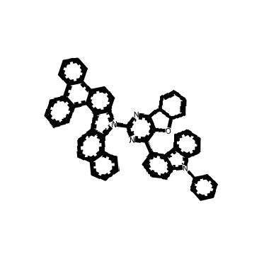 C1=CC2Oc3c(-c4cccc5c4c4ccccc4n5-c4ccccc4)nc(-n4c5ccc6c7ccccc7c7ccccc7c6c5c5ccc6ccccc6c54)nc3C2C=C1